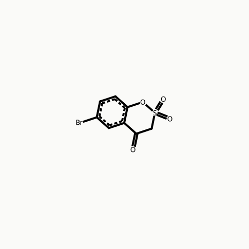 O=C1CS(=O)(=O)Oc2ccc(Br)cc21